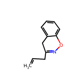 C=CCC1=NOc2ccccc2C1